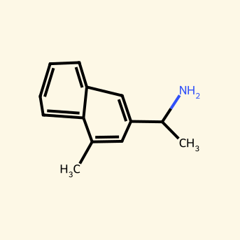 Cc1cc(C(C)N)cc2ccccc12